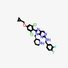 Fc1ccc(CNc2ncc3nc(-c4c(Cl)cc(OCC5CC5)cc4Cl)n(C[C@@H]4CCCNC4)c3n2)cc1F